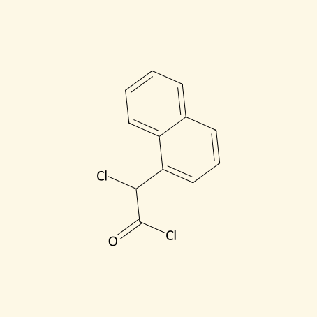 O=C(Cl)C(Cl)c1cccc2ccccc12